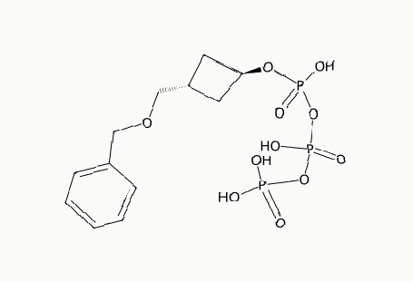 O=P(O)(O)OP(=O)(O)OP(=O)(O)O[C@H]1C[C@H](COCc2ccccc2)C1